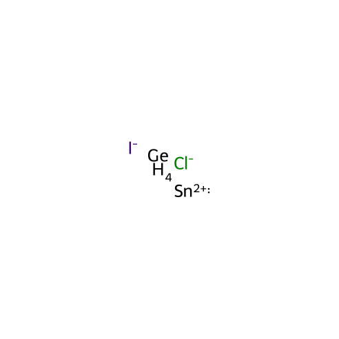 [Cl-].[GeH4].[I-].[Sn+2]